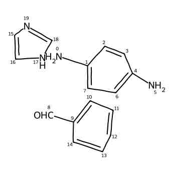 Nc1ccc(N)cc1.O=Cc1ccccc1.c1c[nH]cn1